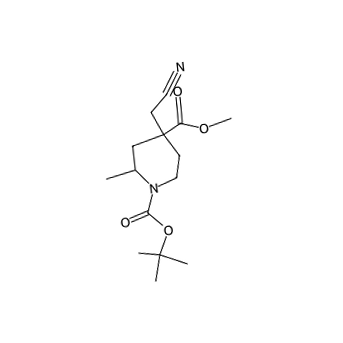 COC(=O)C1(CC#N)CCN(C(=O)OC(C)(C)C)C(C)C1